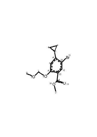 COCOc1cc(C2CC2)c(Br)cc1C(=O)OC